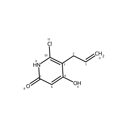 C=CCc1c(O)cc(=O)[nH]c1Cl